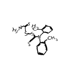 Cc1ccccc1N(C(=S)SSC(N)=S)c1ccccc1C